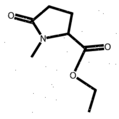 CCOC(=O)C1CCC(=O)N1C